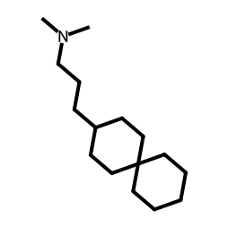 CN(C)CCCC1CCC2(CCCCC2)CC1